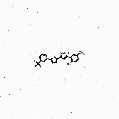 Cc1ccc(O)c(-c2cc(-c3ccc(-c4cccc(C(F)(F)F)c4)o3)n[nH]2)c1